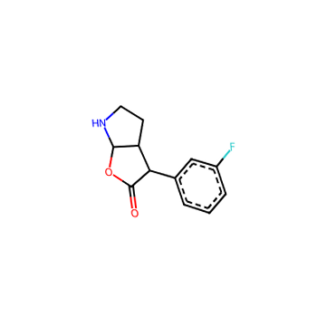 O=C1OC2NCCC2C1c1cccc(F)c1